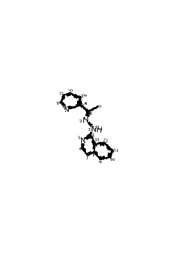 C/C(=N\Nc1nccc2ccccc12)c1ccccn1